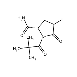 CC(C)(C)C(=O)N1C(=O)C(F)C[C@H]1C(N)=O